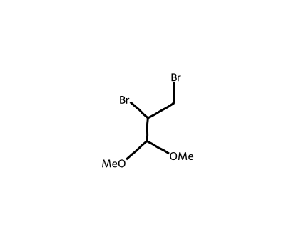 COC(OC)C(Br)CBr